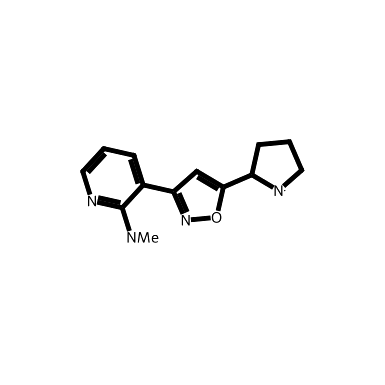 CNc1ncccc1-c1cc(C2CCC[N]2)on1